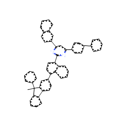 CC1(c2ccccc2)c2ccccc2-c2ccc(-c3ccc(-c4nc(-c5ccc(-c6ccccc6)cc5)cc(-c5ccc6ccccc6c5)n4)c4ccccc34)cc21